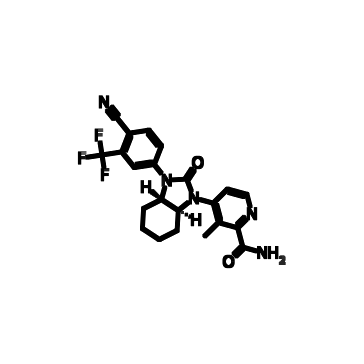 Cc1c(N2C(=O)N(c3ccc(C#N)c(C(F)(F)F)c3)[C@H]3CCCC[C@@H]32)ccnc1C(N)=O